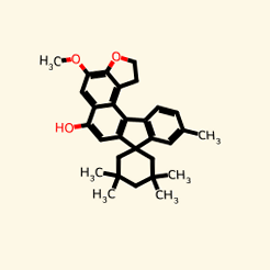 COc1cc2c(O)cc3c(c2c2c1OCC2)-c1ccc(C)cc1C31CC(C)(C)CC(C)(C)C1